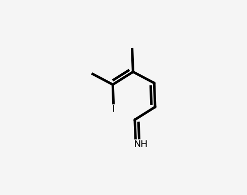 CC(I)=C(C)/C=C\C=N